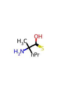 CCCC(C)(N)C(O)=S